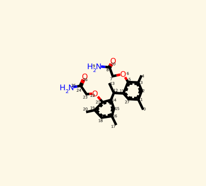 Cc1cc(C)c(OCC(N)=O)c(C(C)c2cc(C)cc(C)c2OCC(N)=O)c1